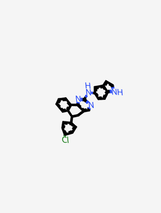 Clc1ccc(C2Cc3cnc(Nc4ccc5[nH]ccc5c4)nc3-c3ccccc32)cc1